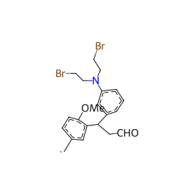 [CH2]c1ccc(OC)c(C(CC=O)c2cccc(N(CCBr)CCBr)c2)c1